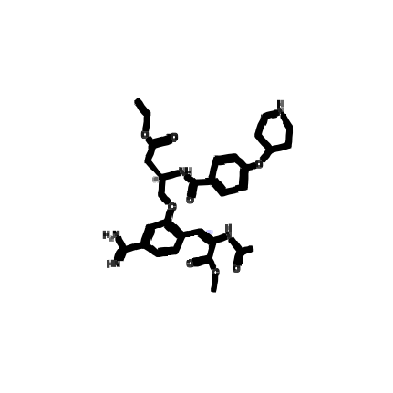 CCOC(=O)C[C@H](COc1cc(C(=N)N)ccc1/C=C(/NC(C)=O)C(=O)OC)NC(=O)c1ccc(OC2CCNCC2)cc1